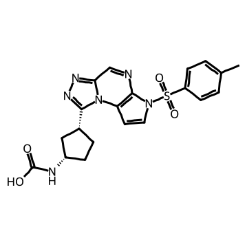 Cc1ccc(S(=O)(=O)n2ccc3c2ncc2nnc([C@@H]4CC[C@H](NC(=O)O)C4)n23)cc1